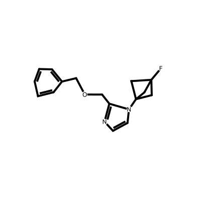 FC12CC(n3ccnc3COCc3ccccc3)(C1)C2